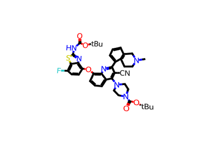 CN1CCc2c(cccc2-c2nc3c(Oc4ccc(F)c5sc(NC(=O)OC(C)(C)C)nc45)cccc3c(N3CCN(C(=O)OC(C)(C)C)CC3)c2C#N)C1